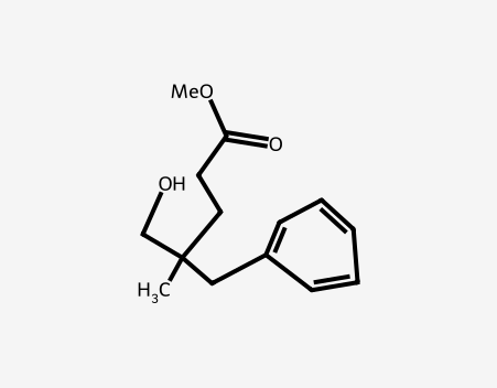 COC(=O)CCC(C)(CO)Cc1ccccc1